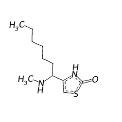 CCCCCCC(NC)c1csc(=O)[nH]1